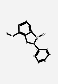 COc1cccc2c1CN(c1ccccc1)[S+]2[O-]